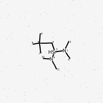 CN(C)[SiH](CC(C)(C)C)N(C)C